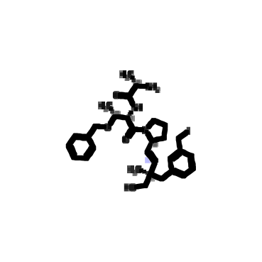 C[C@H](N)C(=O)N[C@H](C(=O)N1CCC[C@H]1/C=C/[C@](C)(CO)Cc1cccc(CI)c1)[C@@H](C)OCc1ccccc1